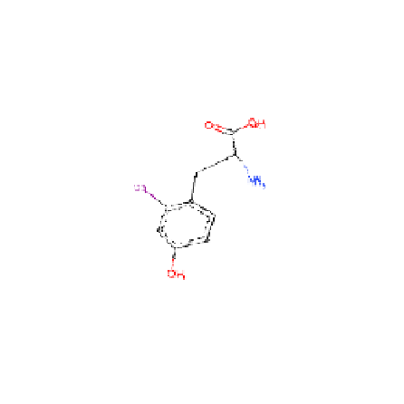 NC(Cc1ccc(O)cc1[123I])C(=O)O